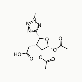 CC(=O)O[C@H]1O[C@@H](c2nnn(C)n2)[C@@H](CC(=O)O)[C@H]1OC(C)=O